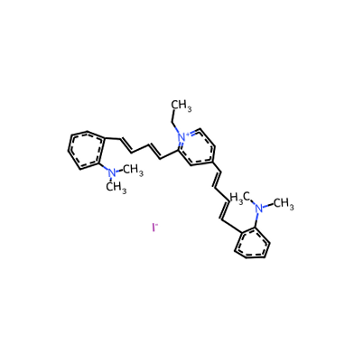 CC[n+]1ccc(C=CC=Cc2ccccc2N(C)C)cc1C=CC=Cc1ccccc1N(C)C.[I-]